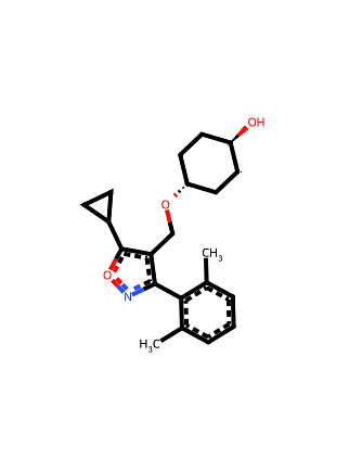 Cc1cccc(C)c1-c1noc(C2CC2)c1CO[C@H]1C[CH][C@H](O)CC1